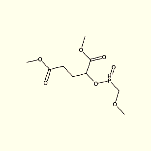 COC[PH](=O)OC(CCC(=O)OC)C(=O)OC